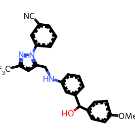 COc1ccc(C(O)c2cccc(NCc3cc(C(F)(F)F)nn3-c3cccc(C#N)c3)c2)cc1